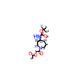 CC(=O)OCC(=O)N1CCCC(NC(=O)OC(C)(C)C)CC1